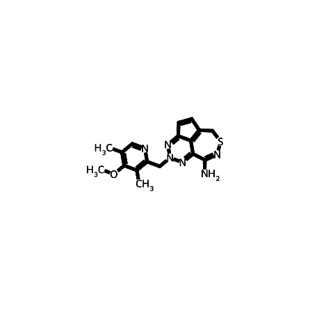 COc1c(C)cnc(Cn2nc3ccc4c-3c(n2)C(N)=NSC4)c1C